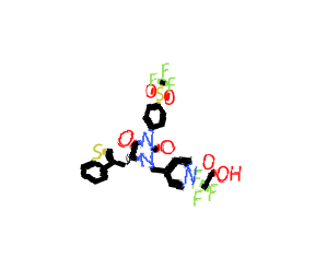 O=C(O)C(F)(F)F.O=C1[C@@H](Cc2csc3ccccc23)N(Cc2ccncc2)C(=O)N1c1ccc(S(=O)(=O)C(F)(F)F)cc1